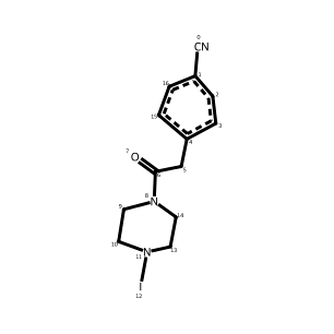 N#Cc1ccc(CC(=O)N2CCN(I)CC2)cc1